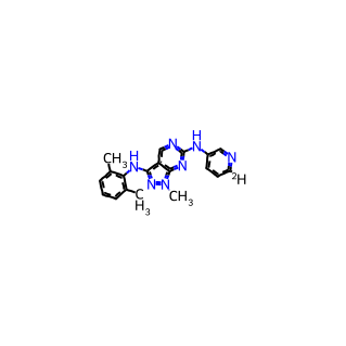 [2H]c1ccc(Nc2ncc3c(Nc4c(C)cccc4C)nn(C)c3n2)cn1